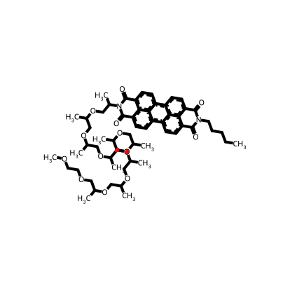 CCCCCN1C(=O)c2ccc3c4ccc5c6c(ccc(c7ccc(c2c37)C1=O)c64)C(=O)N(C(C)COC(C)COC(C)COC(C)COC(C)COC(C)COC(C)COC(C)COC(C)COCCOC)C5=O